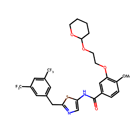 COc1ccc(C(=O)Nc2cnc(Cc3cc(C(F)(F)F)cc(C(F)(F)F)c3)s2)cc1OCCOC1CCCCO1